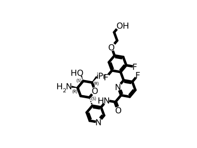 CC(C)[C@H]1O[C@H](c2ccncc2NC(=O)c2ccc(F)c(-c3c(F)cc(OCCO)cc3F)n2)C[C@@H](N)[C@@H]1O